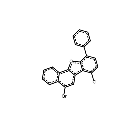 Clc1ccc(-c2ccccc2)c2oc3c4ccccc4c(Br)cc3c12